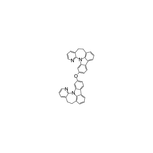 c1cnc2c(c1)CCc1cccc3c4ccc(Oc5ccc6c7cccc8c7n(c6c5)-c5ncccc5CC8)cc4n-2c13